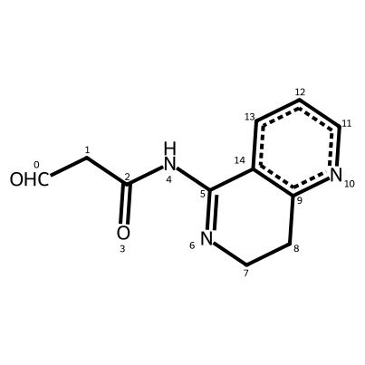 O=CCC(=O)NC1=NCCc2ncccc21